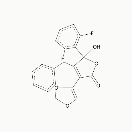 O=C1OC(O)(c2c(F)cccc2F)C(Cc2ccccc2)=C1C1=COCO1